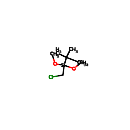 CO[Si](CCl)(OC)C(C)(C)C